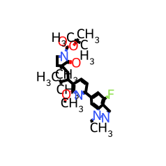 CCn1ncc2c(F)cc(-c3ccc(C(CC4(C)CCN(C(=O)OC(C)(C)C)C4=O)C(C)C)c(OC)n3)cc21